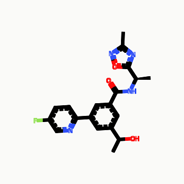 Cc1noc([C@@H](C)NC(=O)c2cc(-c3ccc(F)cn3)cc(C(C)O)c2)n1